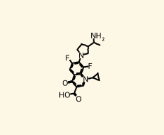 CC(N)C1CCN(c2c(F)cc3c(=O)c(C(=O)O)cn(C4CC4)c3c2F)C1